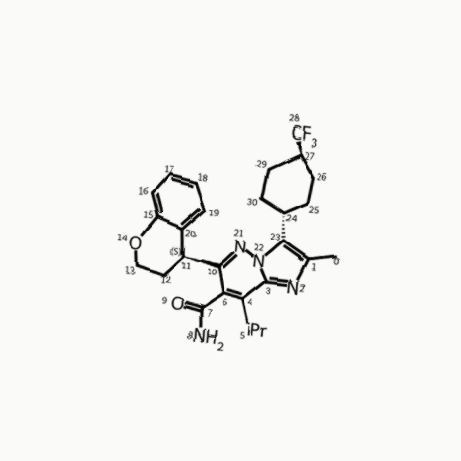 Cc1nc2c(C(C)C)c(C(N)=O)c([C@H]3CCOc4ccccc43)nn2c1[C@H]1CC[C@H](C(F)(F)F)CC1